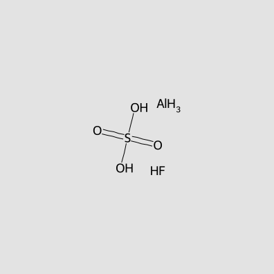 F.O=S(=O)(O)O.[AlH3]